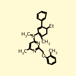 CCC1CC(C)=C(N(C)c2cc(C)nc(COc3ccccc3C)n2)C=C1c1ccccc1